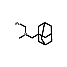 CC(C)CN(C)CC12CC3CC(CC(C3)C1)C2